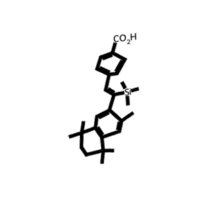 Cc1cc2c(cc1C(=Cc1ccc(C(=O)O)cc1)[Si](C)(C)C)C(C)(C)CCC2(C)C